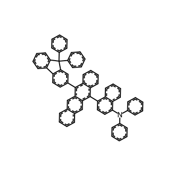 c1ccc(N(c2ccccc2)c2ccc(-c3c4ccccc4c(-c4ccc5c(c4)C(c4ccccc4)(c4ccccc4)c4ccccc4-5)c4cc5ccccc5cc34)c3ccccc23)cc1